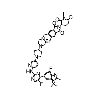 Cc1nc2c(F)cc(-c3nc(Nc4ccc(N5CCC(N6CCN(Cc7cc8c(cc7Br)C(=O)N(C7CCC(=O)NC7=O)C8=O)CC6)CC5)cn4)ncc3F)cc2n1C(C)C